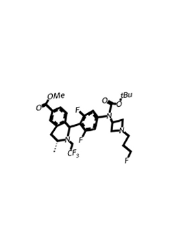 COC(=O)c1ccc2c(c1)C[C@@H](C)N(CC(F)(F)F)C2c1c(F)cc(N(C(=O)OC(C)(C)C)C2CN(CCCF)C2)cc1F